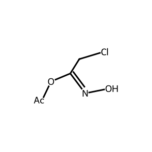 CC(=O)OC(CCl)=NO